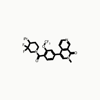 CC(C)C1CCN(C(=O)c2ccc(-c3cn(C)c(=O)c4cnccc34)cc2OC(F)(F)F)CC1(F)F